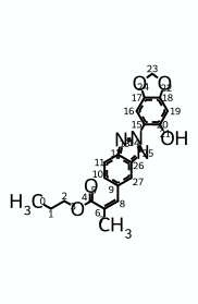 CCCOC(=O)C(C)=Cc1ccc2nn(-c3cc4c(cc3O)OCO4)nc2c1